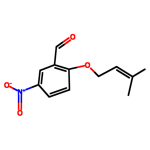 CC(C)=CCOc1ccc([N+](=O)[O-])cc1C=O